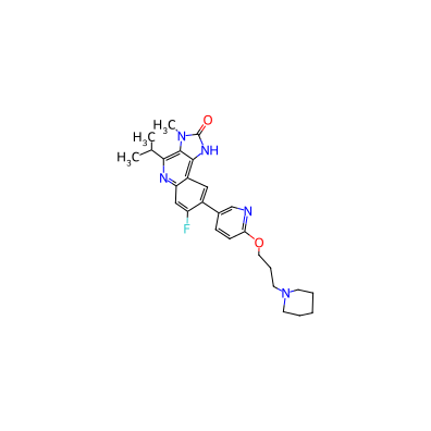 CC(C)c1nc2cc(F)c(-c3ccc(OCCCN4CCCCC4)nc3)cc2c2[nH]c(=O)n(C)c12